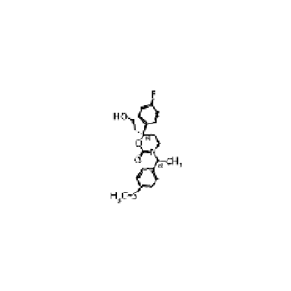 CSc1ccc([C@H](C)N2CC[C@](CCO)(c3ccc(F)cc3)OC2=O)cc1